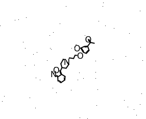 COc1cc(C(C)=O)ccc1OCCCN1CCC(c2onc3ccccc23)CC1